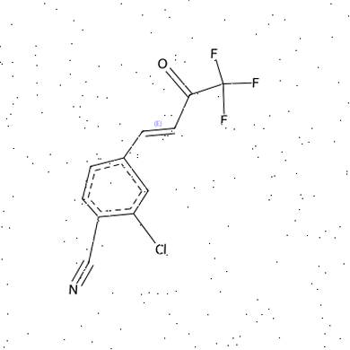 N#Cc1ccc(/C=C/C(=O)C(F)(F)F)cc1Cl